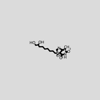 Cn1c2c(c(=O)[nH]c1=O)[N+](C)(CCCCCCCC(O)CO)C=N2